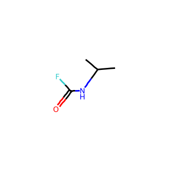 CC(C)NC(=O)F